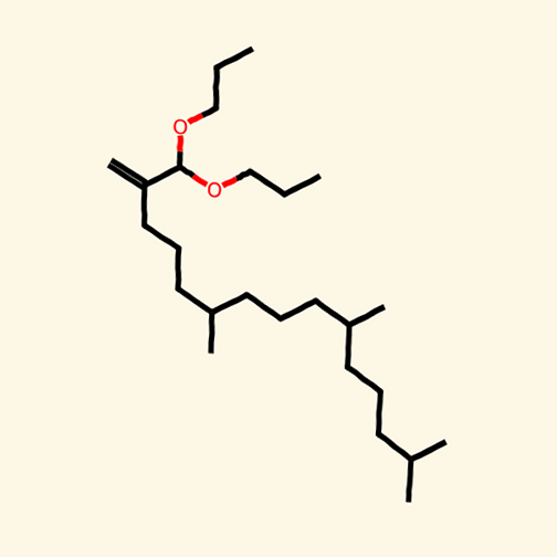 C=C(CCCC(C)CCCC(C)CCCC(C)C)C(OCCC)OCCC